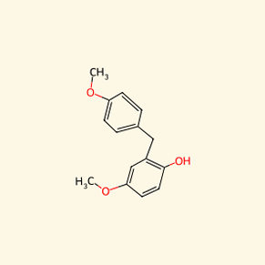 COc1ccc(Cc2cc(OC)ccc2O)cc1